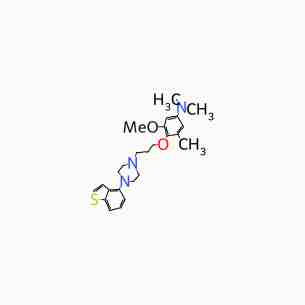 COc1cc(N(C)C)cc(C)c1OCCCN1CCN(c2cccc3sccc23)CC1